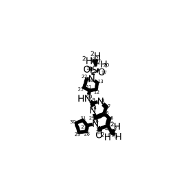 [2H]C([2H])([2H])c1cc2cnc(NC3CCN(S(=O)(=O)C([2H])([2H])[2H])CC3)nc2n(C2CCCC2)c1=O